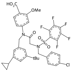 COc1cc(N(Cc2cc(C3CC3)cc(C(C)(C)C)c2)C(=O)CN(Cc2ccc(Cl)cc2)S(=O)(=O)c2c(F)c(F)c(F)c(F)c2F)ccc1C(=O)O